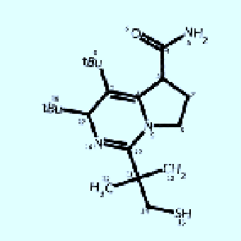 CC(C)(C)C1=C2C(C(N)=O)CCN2C(C(C)(C)CS)=NC1C(C)(C)C